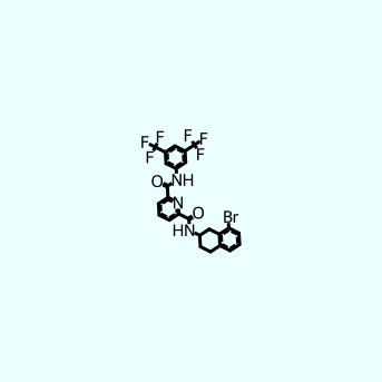 O=C(Nc1cc(C(F)(F)F)cc(C(F)(F)F)c1)c1cccc(C(=O)NC2CCc3cccc(Br)c3C2)n1